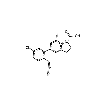 [N-]=[N+]=Nc1ccc(Cl)cc1-c1cc2n(c(=O)c1)[C@H](C(=O)O)CC2